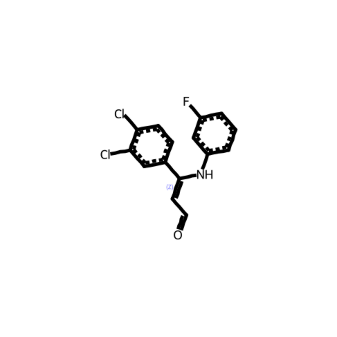 O=C/C=C(\Nc1cccc(F)c1)c1ccc(Cl)c(Cl)c1